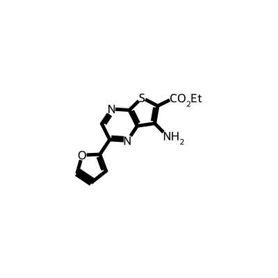 CCOC(=O)c1sc2ncc(-c3cc#co3)nc2c1N